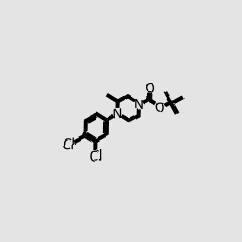 CC1CN(C(=O)OC(C)(C)C)CCN1c1ccc(Cl)c(Cl)c1